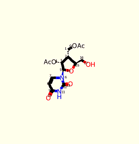 CC(=O)OC[C@H]1[C@@H](OC(C)=O)[C@H](n2ccc(=O)[nH]c2=O)O[C@@H]1CO